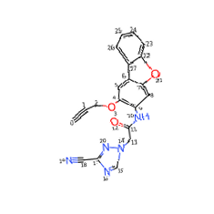 C#CCOc1cc2c(cc1NC(=O)Cn1cnc(C#N)n1)oc1ccccc12